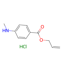 C=CCOC(=O)c1ccc(NC)cc1.Cl